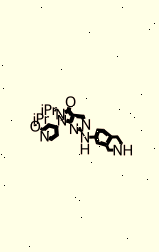 CC(C)Oc1cc(-n2c3nc(Nc4ccc5c(c4)CNCC5)ncc3c(=O)n2C(C)C)ccn1